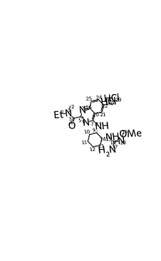 CCN(C)C(=O)c1nc(N[C@H]2CCCC[C@H]2N/C(N)=N\OC)c2cc(C)ccc2n1.Cl.Cl